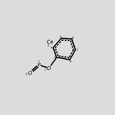 O=POc1ccccc1.[Ce]